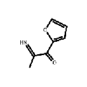 CC(=N)C(=O)c1ccco1